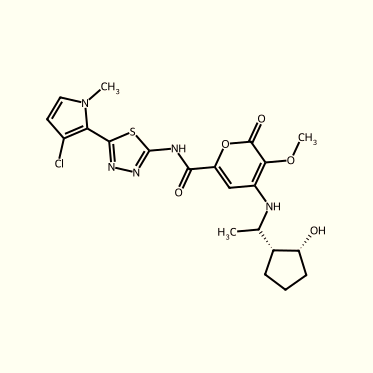 COc1c(NC(C)[C@H]2CCC[C@H]2O)cc(C(=O)Nc2nnc(-c3c(Cl)ccn3C)s2)oc1=O